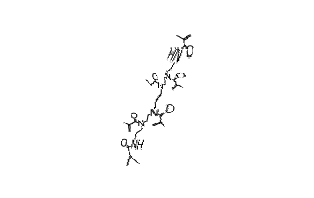 C=C(C)C(=O)NCCN(CCN(CCN(CCN(CCNC(=O)C(C)C)C(=O)C(=C)C)C(=O)C(=C)C)C(=O)CC)C(=O)C(=C)C